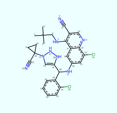 CC(C)(C)CNc1c(C#N)cnc2c(Cl)cc(NC(C3=CN(C4(C#N)CC4)NN3)c3ccccc3Cl)cc12